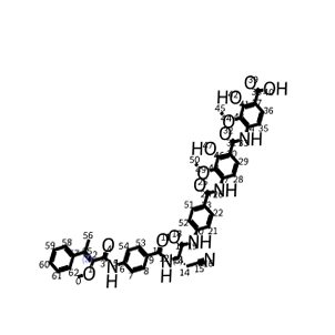 CO/C(C(=O)Nc1ccc(C(=O)N[C@@H](CC#N)C(=O)Nc2ccc(C(=O)Nc3ccc(C(=O)Nc4ccc(C(=O)O)c(O)c4OC)c(O)c3OC)cc2)cc1)=C(/C)c1ccccc1